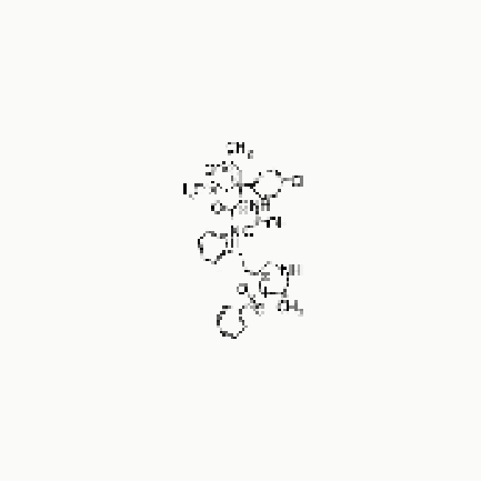 C[C@@H]1C[C@](c2ccc(Cl)cc2)([C@H](NC(=O)O)C(=O)Nc2cccc(F)c2CC[C@H]2CNC[C@H](C)N2S(=O)(=O)c2ccccc2)C[C@H](C)O1